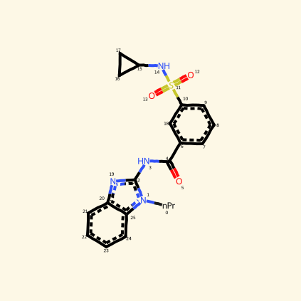 CCCn1c(NC(=O)c2cccc(S(=O)(=O)NC3CC3)c2)nc2ccccc21